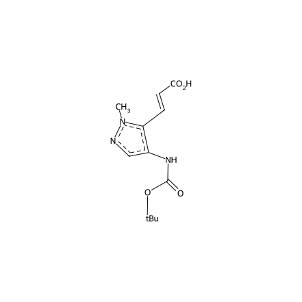 Cn1ncc(NC(=O)OC(C)(C)C)c1C=CC(=O)O